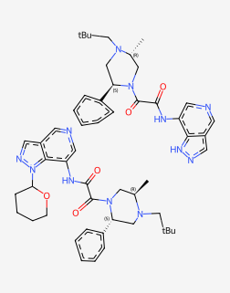 C[C@@H]1CN(C(=O)C(=O)Nc2cncc3cn[nH]c23)[C@@H](c2ccccc2)CN1CC(C)(C)C.C[C@@H]1CN(C(=O)C(=O)Nc2cncc3cnn(C4CCCCO4)c23)[C@@H](c2ccccc2)CN1CC(C)(C)C